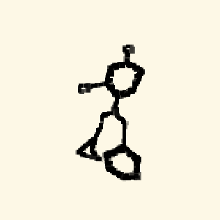 Clc1ccc(N(Cc2cccnc2)CC2CC2)c(Cl)c1